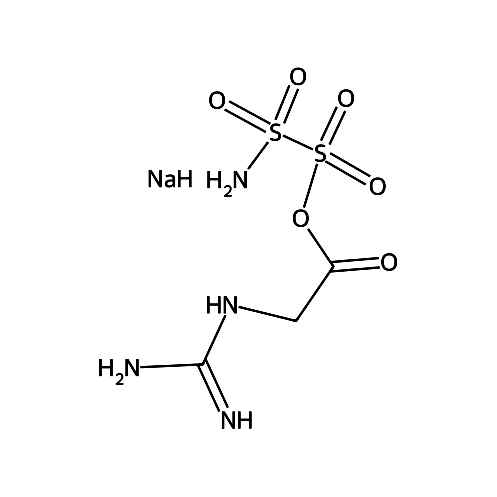 N=C(N)NCC(=O)OS(=O)(=O)S(N)(=O)=O.[NaH]